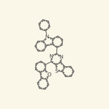 c1ccc(-n2c3ccccc3c3c(-c4nc(-c5cccc6c5oc5ccccc56)c5sc6ccccc6c5n4)cccc32)cc1